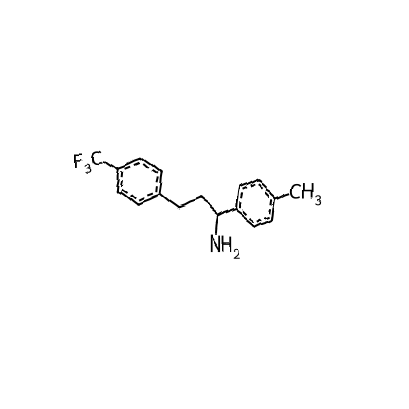 Cc1ccc(C(N)CCc2ccc(C(F)(F)F)cc2)cc1